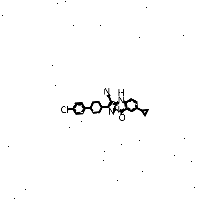 N#Cc1c(C2CCC(c3ccc(Cl)cc3)CC2)nn2c(=O)c3cc(C4CC4)ccc3[nH]c12